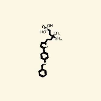 CC(N)(CCc1ccc(-c2ccc(OCc3ccccc3)cc2)s1)CCP(=O)(O)O